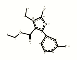 CCOC(=O)c1c(-c2cccc(F)c2)nc(Br)n1CC